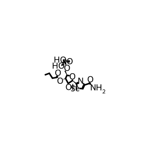 CCCC(=O)O[C@H]1[C@@H](O)[C@H](c2nc(C(N)=O)c[se]2)O[C@@H]1COP(=O)(O)O